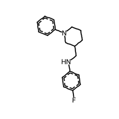 Fc1ccc(NCC2CCCN(c3ccccc3)C2)cc1